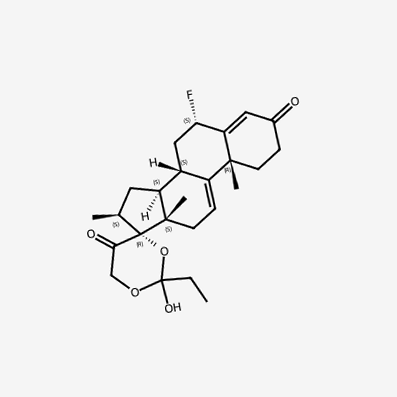 CCC1(O)OCC(=O)[C@@]2(O1)[C@@H](C)C[C@H]1[C@@H]3C[C@H](F)C4=CC(=O)CC[C@]4(C)C3=CC[C@@]12C